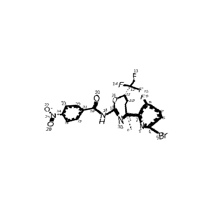 C[C@@]1(c2nc(Br)ccc2F)C[C@@H](C(F)(F)F)OC(NC(=O)c2ccc([N+](=O)[O-])cc2)=N1